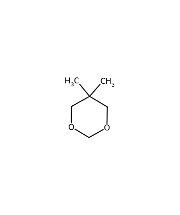 CC1(C)COCOC1